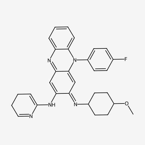 COC1CCC(/N=c2\cc3n(-c4ccc(F)cc4)c4ccccc4nc-3cc2NC2=CCCC=N2)CC1